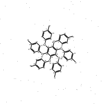 Cc1ccc(Oc2c(Oc3ccc(C)cc3)c(Oc3ccc(C)cc3)c(Oc3ccc(C)cc3)c(Oc3ccc(C)cc3)c2Oc2ccc(C)cc2)cc1